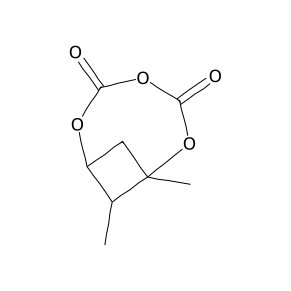 CC1C2CC1(C)OC(=O)OC(=O)O2